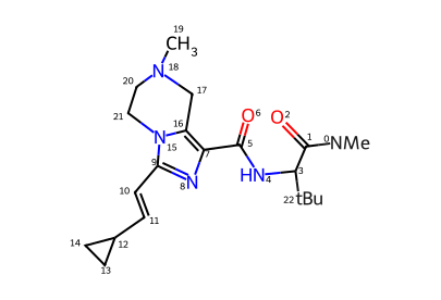 CNC(=O)C(NC(=O)c1nc(C=CC2CC2)n2c1CN(C)CC2)C(C)(C)C